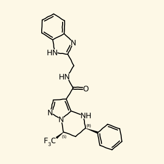 O=C(NCc1nc2ccccc2[nH]1)c1cnn2c1N[C@@H](c1ccccc1)C[C@H]2C(F)(F)F